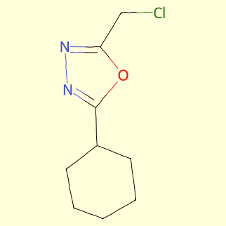 ClCc1nnc(C2CCCCC2)o1